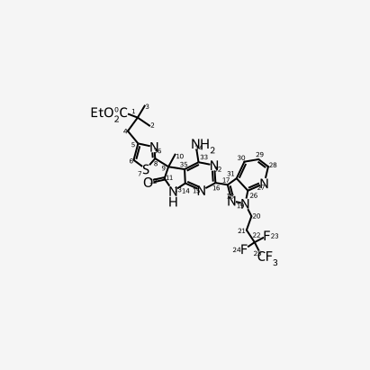 CCOC(=O)C(C)(C)Cc1csc(C2(C)C(=O)Nc3nc(-c4nn(CCC(F)(F)C(F)(F)F)c5ncccc45)nc(N)c32)n1